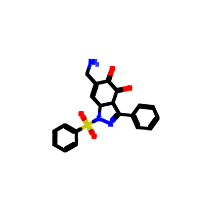 NCC1=CC2C(C(=O)C1=O)C(c1ccccc1)=NN2S(=O)(=O)c1ccccc1